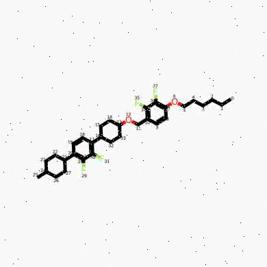 CCCCCCOc1ccc(COC2CCC(c3ccc(C4CCC(C)CC4)c(F)c3F)CC2)c(F)c1F